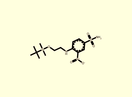 CC(C)(C)[Si](C)(C)OCCNc1ccc(S(N)(=O)=O)cc1[N+](=O)[O-]